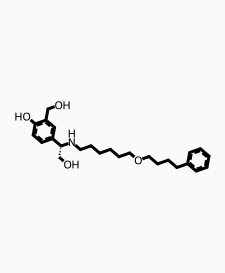 OCc1cc([C@@H](CO)NCCCCCCOCCCCc2ccccc2)ccc1O